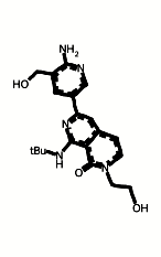 CC(C)(C)Nc1nc(-c2cnc(N)c(CO)c2)cc2ccn(CCO)c(=O)c12